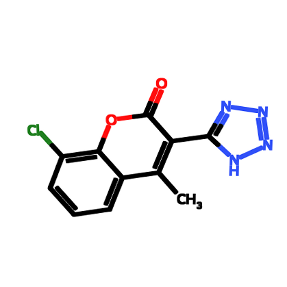 Cc1c(-c2nnn[nH]2)c(=O)oc2c(Cl)cccc12